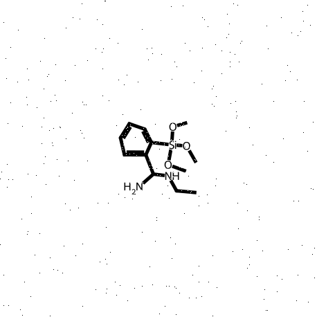 CCNC(N)c1ccccc1[Si](OC)(OC)OC